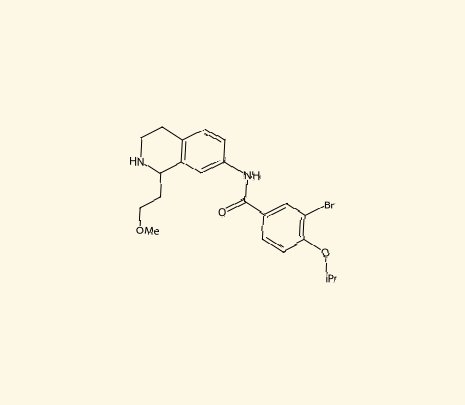 COCCC1NCCc2ccc(NC(=O)c3ccc(OC(C)C)c(Br)c3)cc21